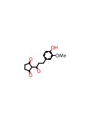 COc1cc(CCC(=O)C2C(=O)CCC2=O)ccc1O